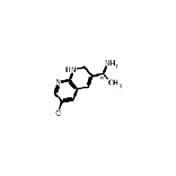 C[C@H](N)C1=Cc2cc(Cl)cnc2NC1